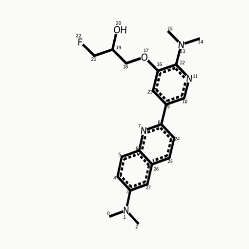 CN(C)c1ccc2nc(-c3cnc(N(C)C)c(OCC(O)CF)c3)ccc2c1